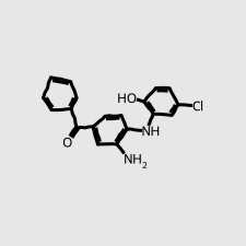 Nc1cc(C(=O)c2ccccc2)ccc1Nc1cc(Cl)ccc1O